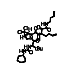 C=CCCNC(=O)C(=O)C(CCC=C)NC(=O)[C@@H]1[C@H]2[C@@H](CN1C(=O)C(NC(=O)NC1CCCCC1)C(C)(C)C)C2(Cl)Cl